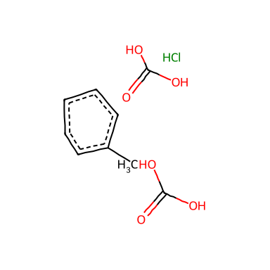 Cc1ccccc1.Cl.O=C(O)O.O=C(O)O